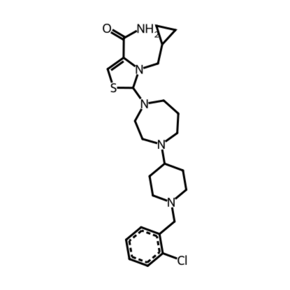 NC(=O)C1=CSC(N2CCCN(C3CCN(Cc4ccccc4Cl)CC3)CC2)N1CC1CC1